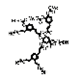 COC(=O)Oc1ccc(/C=C/C(=O)O[C@@H]2[C@H](OC(=O)/C=C/c3ccc(CCOOO)c(CCOOO)c3)C[C@@](CCOOO)(C(=O)OC)C[C@H]2OC(=O)/C=C/c2ccc(OC(=O)OC)c(OC(=O)OC)c2)cc1CCOOO